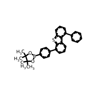 CC1(C)OB(c2ccc(-c3cccc4c3sc3cccc(-c5ccccc5)c34)cc2)OC1(C)C